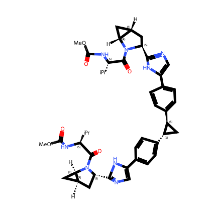 COC(=O)N[C@H](C(=O)N1[C@@H]2C[C@@H]2C[C@H]1c1ncc(-c2ccc([C@H]3C[C@@H]3c3ccc(-c4cnc([C@@H]5C[C@H]6C[C@H]6N5C(=O)[C@@H](NC(=O)OC)C(C)C)[nH]4)cc3)cc2)[nH]1)C(C)C